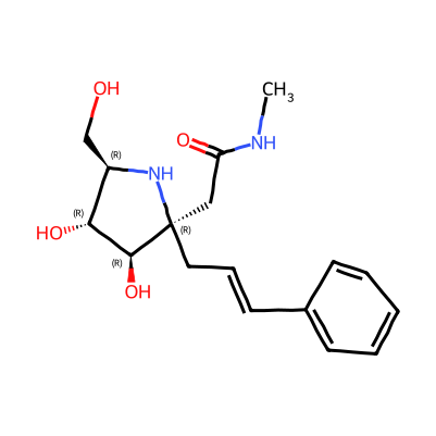 CNC(=O)C[C@@]1(CC=Cc2ccccc2)N[C@H](CO)[C@@H](O)[C@@H]1O